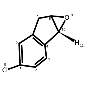 Clc1ccc2c(c1)CC1O[C@H]21